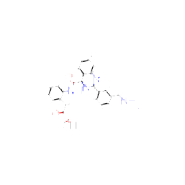 COC(=O)Cc1ccccc1NC(=O)c1nc(-c2cccc(CN)c2)nc2ccccc12